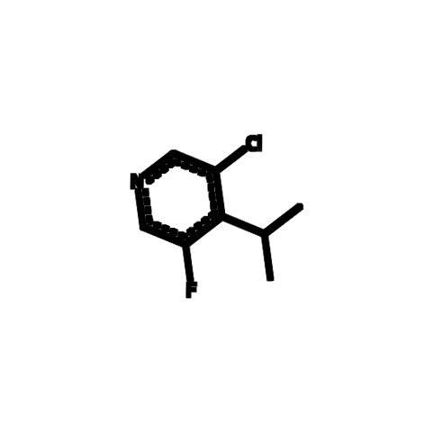 CC(C)c1c(F)cncc1Cl